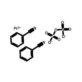 N#Cc1ccccc1.N#Cc1ccccc1.O=S(=O)([O-])OS(=O)(=O)[O-].[Pt+2]